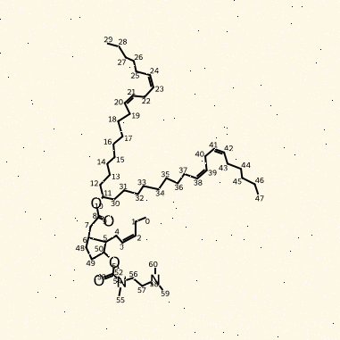 CC/C=C\CC1C(CC(=O)OC(CCCCCCCC/C=C\C/C=C\CCCCC)CCCCCCCC/C=C\C/C=C\CCCCC)CCC1OC(=O)N(C)CCN(C)C